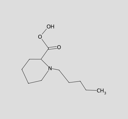 CCCCCN1CCCCC1C(=O)OO